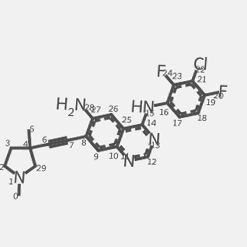 CN1CCC(C)(C#Cc2cc3ncnc(Nc4ccc(F)c(Cl)c4F)c3cc2N)C1